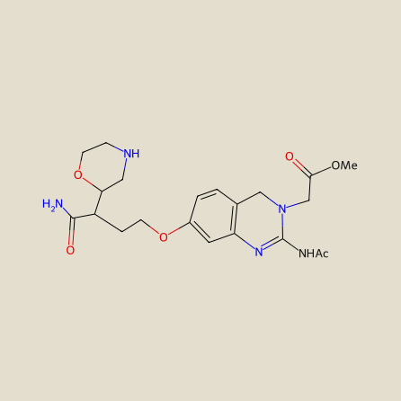 COC(=O)CN1Cc2ccc(OCCC(C(N)=O)C3CNCCO3)cc2N=C1NC(C)=O